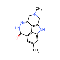 Cc1cc2c3c4c([nH]c3c1)CN(C)CC4=NNC2=O